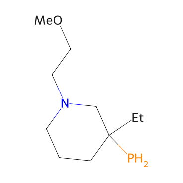 CCC1(P)CCCN(CCOC)C1